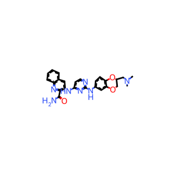 CN(C)CC1COc2cc(Nc3nccc(Nc4cc5ccccc5nc4C(N)=O)n3)ccc2O1